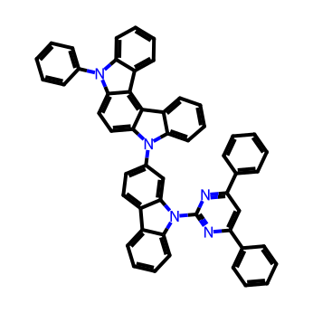 c1ccc(-c2cc(-c3ccccc3)nc(-n3c4ccccc4c4ccc(-n5c6ccccc6c6c7c8ccccc8n(-c8ccccc8)c7ccc65)cc43)n2)cc1